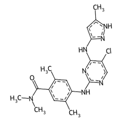 Cc1cc(Nc2nc(Nc3cc(C)c(C(=O)N(C)C)cc3C)ncc2Cl)n[nH]1